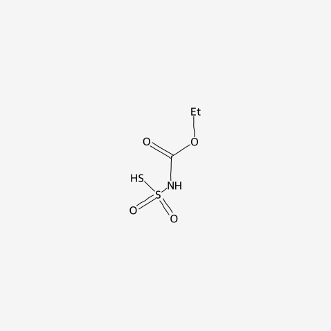 CCOC(=O)NS(=O)(=O)S